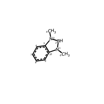 CN1BN(C)c2ccccc21